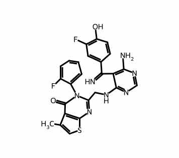 Cc1csc2nc(CNc3ncnc(N)c3C(=N)c3ccc(O)c(F)c3)n(-c3ccccc3F)c(=O)c12